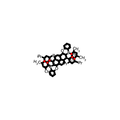 Cc1cc(C)c(B2c3ccccc3Oc3c2c(-c2c(C(C)C)cc(C(C)C)cc2C(C)C)c2ccc4c5c(c(-c6c(C(C)C)cc(C(C)C)cc6C(C)C)c6ccc3c2c46)B(c2c(C)cc(C)cc2C)c2ccccc2O5)c(C)c1